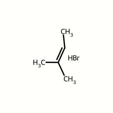 Br.CC=C(C)C